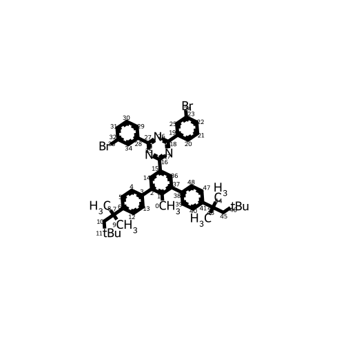 Cc1c(-c2ccc(C(C)(C)CC(C)(C)C)cc2)cc(-c2nc(-c3cccc(Br)c3)nc(-c3cccc(Br)c3)n2)cc1-c1ccc(C(C)(C)CC(C)(C)C)cc1